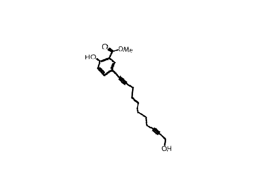 COC(=O)c1cc(C#CCCCCCCC#CCO)ccc1O